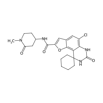 CN1CCC(NC(=O)c2cc3cc(Cl)c4c(c3o2)C2(CCCCC2)NC(=O)N4)CC1=O